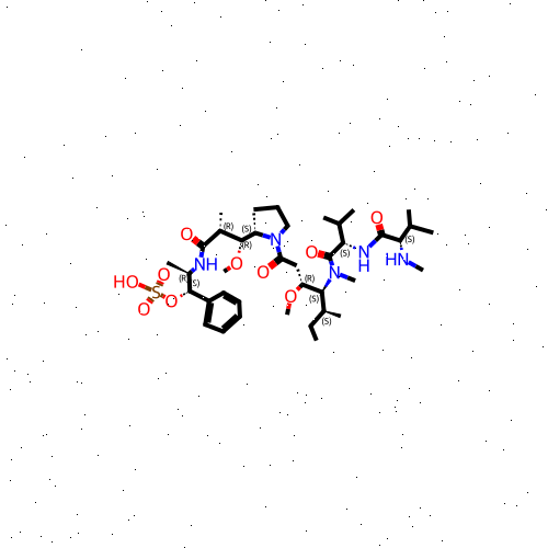 CC[C@H](C)[C@@H]([C@@H](CC(=O)N1CCC[C@H]1[C@H](OC)[C@@H](C)C(=O)N[C@H](C)[C@@H](OS(=O)(=O)O)c1ccccc1)OC)N(C)C(=O)[C@@H](NC(=O)[C@@H](NC)C(C)C)C(C)C